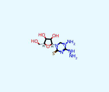 NNC1=NC(=S)N([C@@H]2O[C@H](CO)C(O)C2O)CN1N